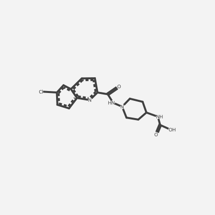 O=C(O)NC1CCN(NC(=O)c2ccc3cc(Cl)ccc3n2)CC1